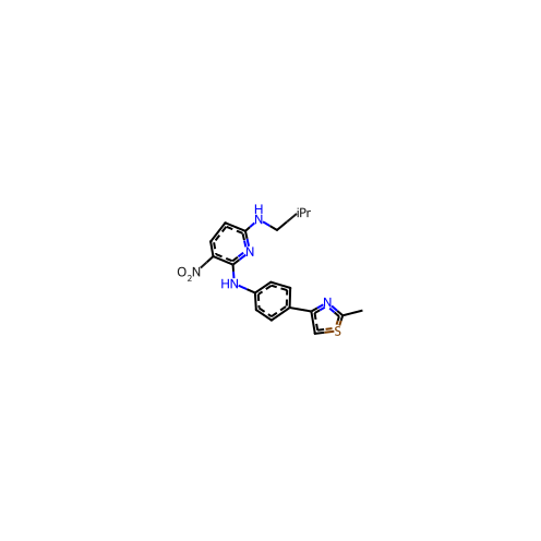 Cc1nc(-c2ccc(Nc3nc(NCC(C)C)ccc3[N+](=O)[O-])cc2)cs1